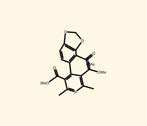 COC(=O)c1c(-c2c(C(=O)OC)c(C)nc(C)c2C(=O)OC)ccc2c1OCO2